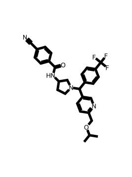 CC(C)OCc1ccc(C(c2ccc(C(F)(F)F)cc2)N2CCC(NC(=O)c3ccc(C#N)cc3)C2)cn1